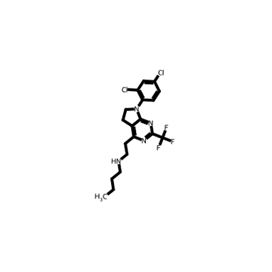 CCCCNCCc1nc(C(F)(F)F)nc2c1CCN2c1ccc(Cl)cc1Cl